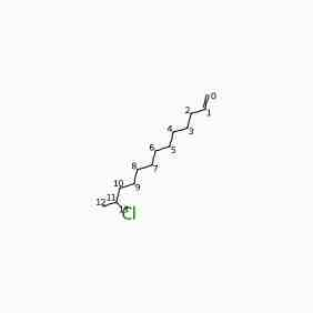 C=CCCCCCCCCCC(C)Cl